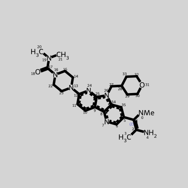 CN/C(=C(/C)N)c1cnc2c3ccc(N4CCN(C(=O)N(C)C)CC4)nc3n(CC3CCOCC3)c2c1